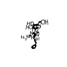 C[C@]1(O)C(n2cnc3c(NCCc4ccccc4)nc(N)nc32)O[C@H](CO)[C@H]1O